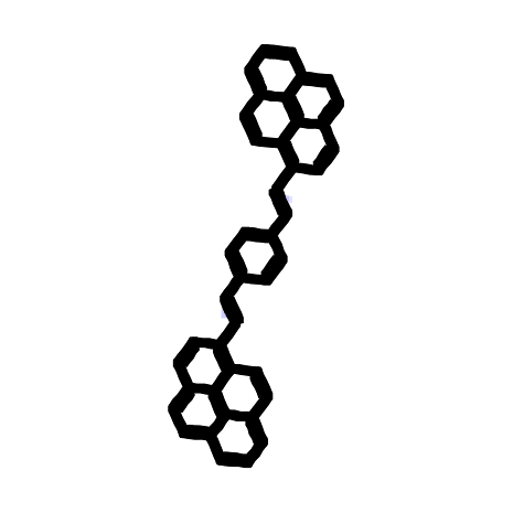 C(=C\c1ccc2ccc3cccc4ccc1c2c34)/c1ccc(/C=C/c2ccc3ccc4cccc5ccc2c3c45)cc1